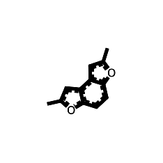 Cc1cc2c(ccc3oc(C)cc32)o1